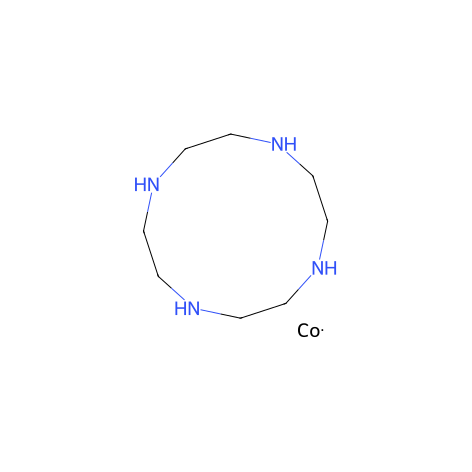 C1CNCCNCCNCCN1.[Co]